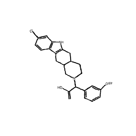 C=C(O)C(c1cccc(OC)c1)N1CCC2Cc3[nH]c4cc(Cl)ccc4c3CC2C1